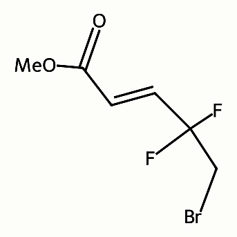 COC(=O)C=CC(F)(F)CBr